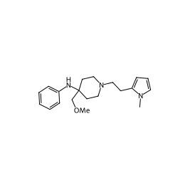 COCC1(Nc2ccccc2)CCN(CCc2cccn2C)CC1